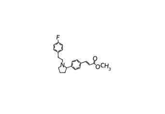 COC(=O)C=Cc1ccc(C2CCCN2CCc2ccc(F)cc2)cc1